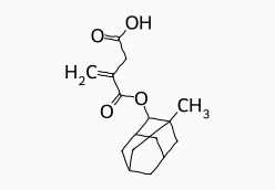 C=C(CC(=O)O)C(=O)OC1C2CC3CC(C2)CC1(C)C3